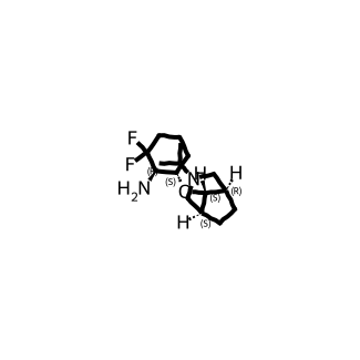 CC(C)N1C[C@H]2CC[C@@H](C1)[C@@H]2O[C@H]1CCCC(F)(F)[C@@H]1N